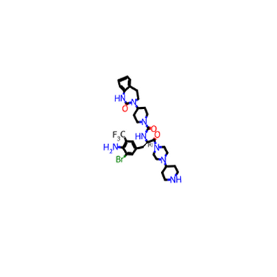 Nc1c(Br)cc(C[C@@H](NC(=O)N2CCC(N3CCc4ccccc4NC3=O)CC2)C(=O)N2CCN(C3CCNCC3)CC2)cc1C(F)(F)F